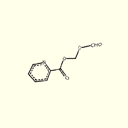 O=[C]OCOC(=O)c1ccccn1